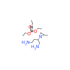 CC1CN1C(CN)CCN.CCO[SiH](OCC)OCC